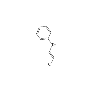 ClC=C[Te]c1ccccc1